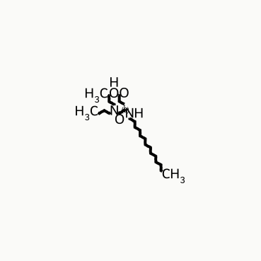 CCCCCCCCCCCCCCN[C@@H](CCC(=O)O)C(=O)N(CCCC)CCCC